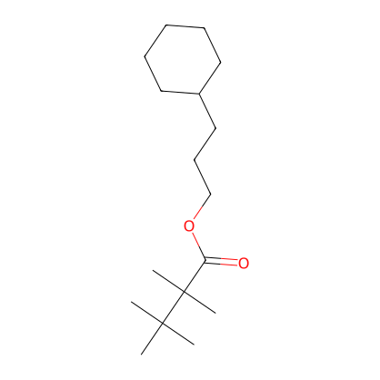 CC(C)(C)C(C)(C)C(=O)OCCCC1CCCCC1